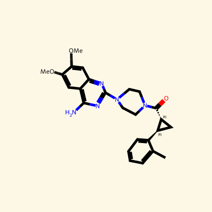 COc1cc2nc(N3CCN(C(=O)[C@@H]4C[C@H]4c4ccccc4C)CC3)nc(N)c2cc1OC